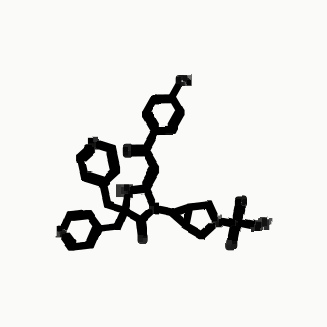 CCCS(=O)(=O)N1CC2C(C1)C2N1C(=O)C(Cc2ccncc2)(Cc2ccncc2)NC1=CC(=O)c1ccc(C#N)cc1